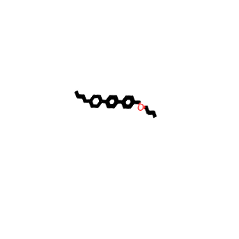 CC=CCOCc1ccc(-c2ccc(C3CCC(CC=CC)CC3)cc2)cc1